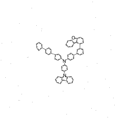 c1ccc(-c2ccc(-c3ccc(N(c4ccc(-c5cccc(-c6cccc7oc8ccccc8c67)c5)cc4)c4ccc(-n5c6ccccc6c6ccccc65)cc4)cc3)cc2)cc1